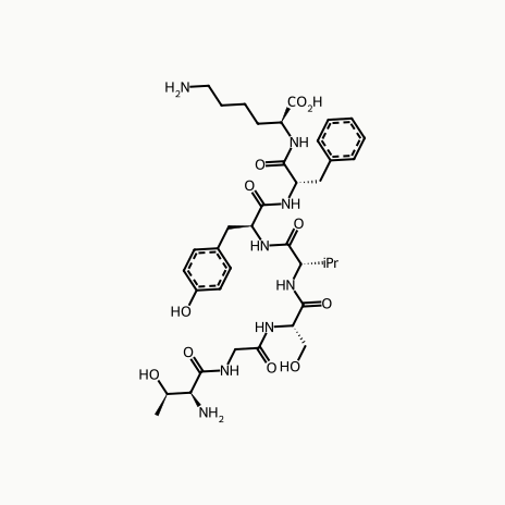 CC(C)[C@H](NC(=O)[C@H](CO)NC(=O)CNC(=O)[C@@H](N)[C@@H](C)O)C(=O)N[C@@H](Cc1ccc(O)cc1)C(=O)N[C@@H](Cc1ccccc1)C(=O)N[C@@H](CCCCN)C(=O)O